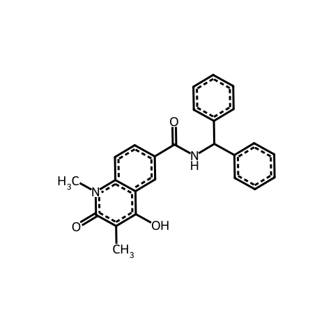 Cc1c(O)c2cc(C(=O)NC(c3ccccc3)c3ccccc3)ccc2n(C)c1=O